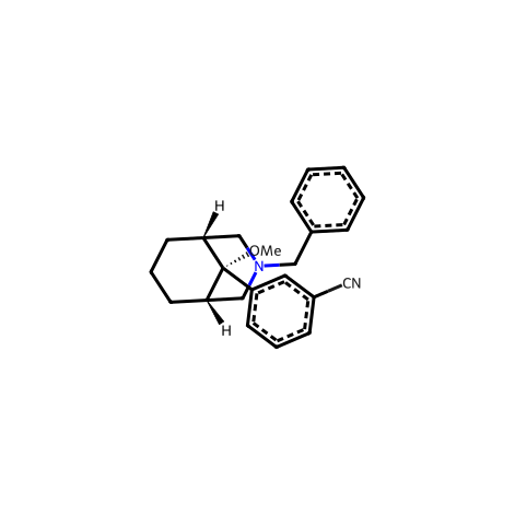 CO[C@@]1(c2cccc(C#N)c2)[C@@H]2CCC[C@H]1CN(Cc1ccccc1)C2